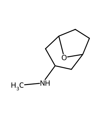 CNC1CC2CCC(C1)O2